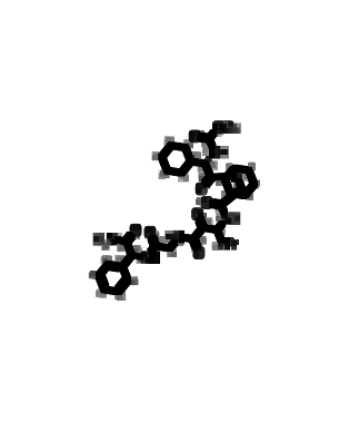 CCCC(NC(=O)C1C2CCC(CC2)N1C(=O)[C@@H](NC(=O)OCC(C)C)C1CCCCC1)C(=O)C(=O)NCC(=O)N[C@H](C(N)=O)c1ccccc1